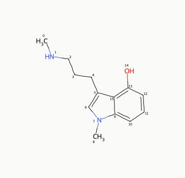 CNCCCc1cn(C)c2cccc(O)c12